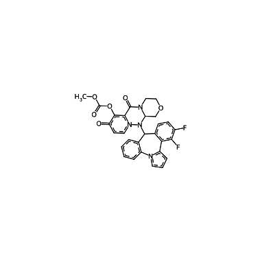 COC(=O)Oc1c2n(ccc1=O)N(C1c3ccccc3-n3cccc3-c3c1ccc(F)c3F)C1COCCN1C2=O